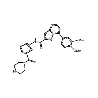 COc1ccc(-c2ccnc3cc(C(=O)Nc4cccc(C(=O)N5CCNCC5)c4)nn23)cc1OC